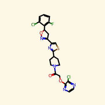 O=C(COc1nccnc1Cl)N1CCC(c2nc(C3=NOC(c4c(F)cccc4Cl)C3)cs2)CC1